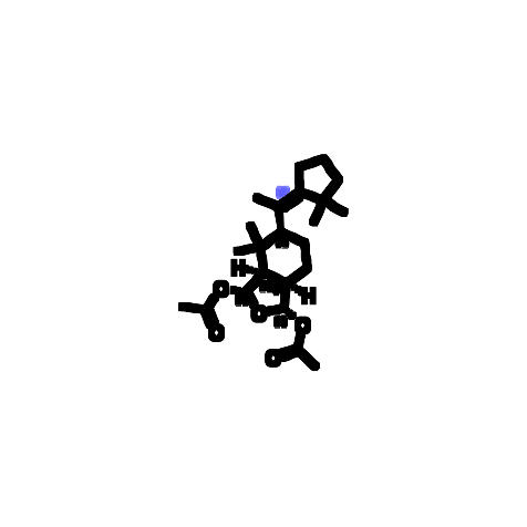 CC(=O)O[C@@H]1O[C@H](OC(C)=O)[C@@H]2[C@H]1CC[C@H](/C(C)=C1/CCCC1(C)C)C2(C)C